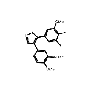 COc1ccc(-c2cnsc2-c2cc(C)c(C)c(OC)c2)cc1NC(C)=O